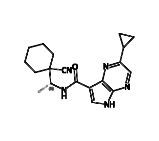 C[C@@H](NC(=O)c1c[nH]c2ncc(C3CC3)nc12)C1(C#N)CCCCC1